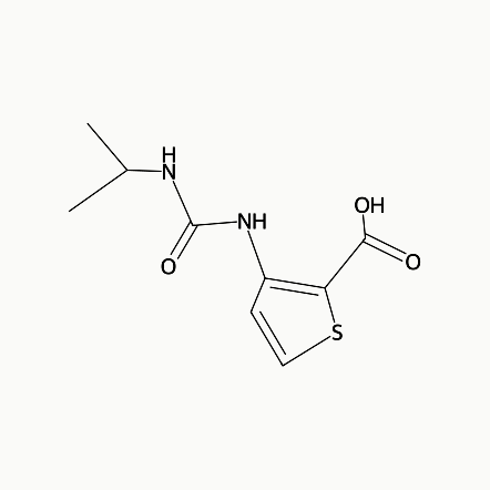 CC(C)NC(=O)Nc1ccsc1C(=O)O